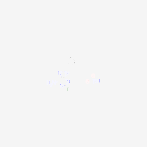 CNS(=O)(=O)CCCCCn1c(Cc2cc3c(cc2I)CCC3)nc2c(N)nc(F)nc21